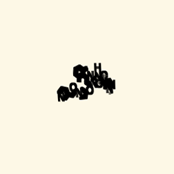 Cc1cccc(C)c1-c1cc(OC2CCN(C(=O)Cc3cccnc3)C2)nc(NS(=O)(=O)c2cnn(C)c2)n1